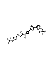 O=C(COC1CC(OC(F)(F)F)C1)NC12CC(c3nnc(-c4ccn(CC(F)(F)F)n4)o3)(C1)C2